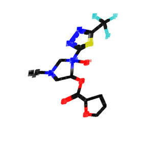 CN1CC(OC(=O)C2CCCO2)[N+]([O-])(c2nnc(C(F)(F)F)s2)C1